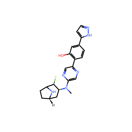 CN(c1cnc(-c2ccc(-c3ccn[nH]3)cc2O)cn1)[C@H]1C[C@@H]2CCC(N2)[C@H]1F